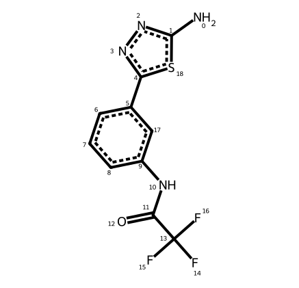 Nc1nnc(-c2cccc(NC(=O)C(F)(F)F)c2)s1